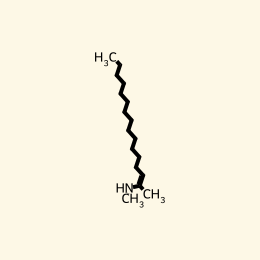 CCCCCCCCCCCCC/C=C(/C)NC